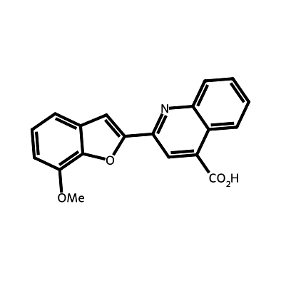 COc1cccc2cc(-c3cc(C(=O)O)c4ccccc4n3)oc12